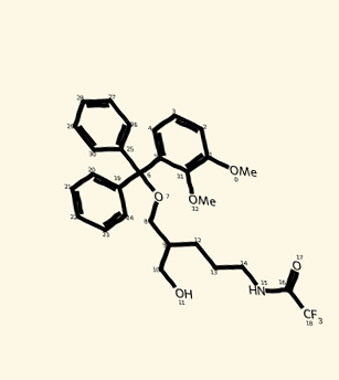 COc1cccc(C(OCC(CO)CCCNC(=O)C(F)(F)F)(c2ccccc2)c2ccccc2)c1OC